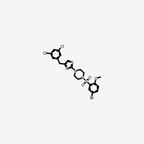 COc1ccc(Br)cc1S(=O)(=O)N1CCN(c2nc(Cc3cc(Cl)cc(Cl)c3)cs2)CC1